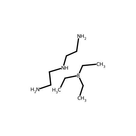 CCB(CC)CC.NCCNCCN